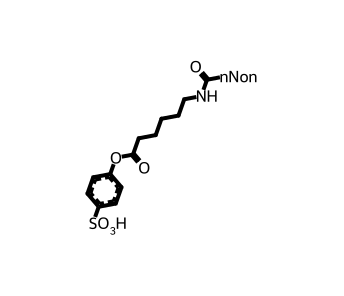 CCCCCCCCCC(=O)NCCCCCC(=O)Oc1ccc(S(=O)(=O)O)cc1